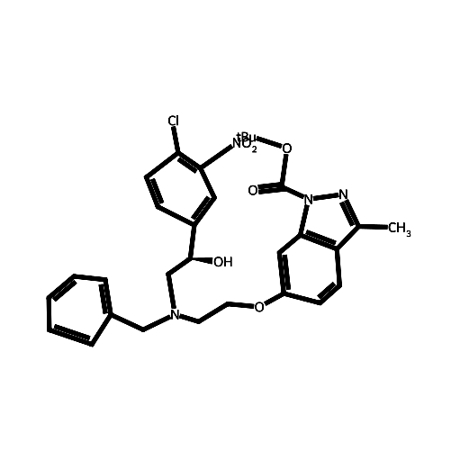 Cc1nn(C(=O)OC(C)(C)C)c2cc(OCCN(Cc3ccccc3)C[C@H](O)c3ccc(Cl)c([N+](=O)[O-])c3)ccc12